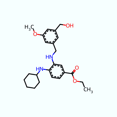 CCOC(=O)c1ccc(NC2CCCCC2)c(NCc2cc(CO)cc(OC)c2)c1